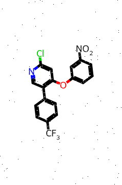 O=[N+]([O-])c1cccc(Oc2cc(Cl)ncc2-c2ccc(C(F)(F)F)cc2)c1